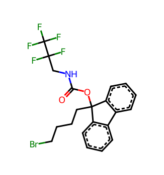 O=C(NCC(F)(F)C(F)(F)F)OC1(CCCCBr)c2ccccc2-c2ccccc21